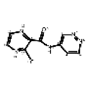 O=C(Nc1ccnnc1)c1nccnc1Cl